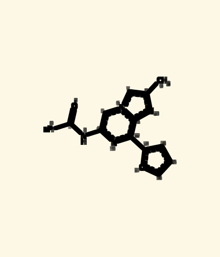 CCCC(=O)Nc1cn2cc(C)nc2c(-c2ccco2)n1